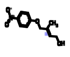 C/C(=C\CO)COc1ccc([N+](=O)[O-])cc1